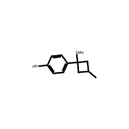 CCCc1ccc(C2(SC)CC(C)C2)cc1